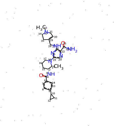 C[C@@H]1[C@H](NC(=O)c2ccc(C3CC3)cc2)CCCN1c1cnc(C(N)=O)c(NCC2=CCN(C)CC2)n1